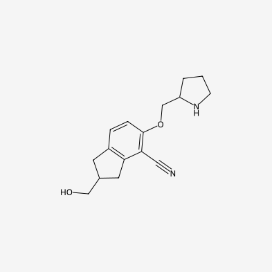 N#Cc1c(OCC2CCCN2)ccc2c1CC(CO)C2